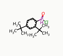 CC(C)(C)c1ccc([PH](=O)Cl)c(C(C)(C)C)c1